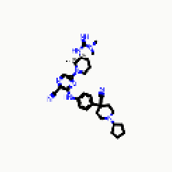 C[C@@H]1[C@H](NC(=N)N(C)C)CCCN1c1cnc(C#N)c(Nc2ccc(C3(C#N)CCN(C4CCCC4)CC3)cc2)n1